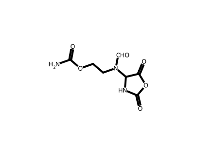 NC(=O)OCCN(C=O)C1NC(=O)OC1=O